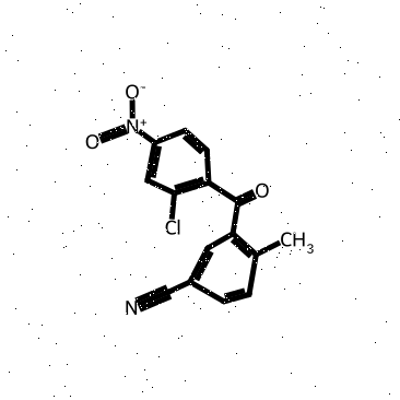 Cc1ccc(C#N)cc1C(=O)c1ccc([N+](=O)[O-])cc1Cl